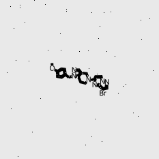 COc1ccc(Cn2ncc3c2CCN(c2ccn4ncc(Br)c4n2)C3)cc1